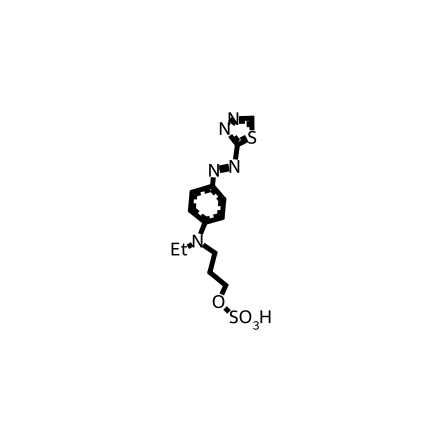 CCN(CCCOS(=O)(=O)O)c1ccc(N=Nc2nncs2)cc1